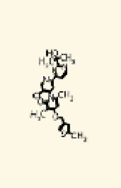 Cc1cc(COc2cc(C)n(-c3cc(-c4ccnc(C(C)(C)O)n4)ncc3Cl)c(=O)c2C)cs1